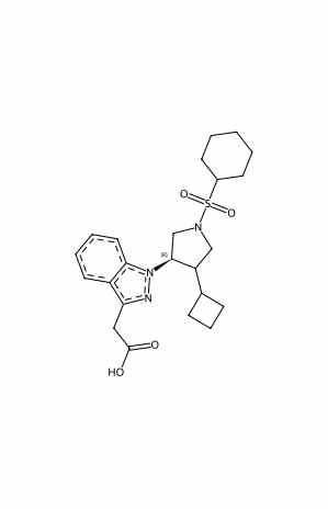 O=C(O)Cc1nn([C@H]2CN(S(=O)(=O)C3CCCCC3)CC2C2CCC2)c2ccccc12